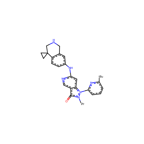 CC(C)n1c(=O)c2cnc(Nc3ccc4c(c3)CNCC43CC3)cc2n1-c1cccc(C(C)(C)C)n1